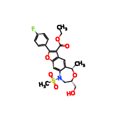 CCOC(=O)c1c(-c2ccc(F)cc2)oc2cc3c(cc12)[C@H](C)O[C@H](CO)CN3S(C)(=O)=O